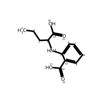 CCCC(Nc1ccccc1C(=O)O)C(=O)O